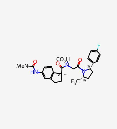 CNC(=O)Nc1ccc2c(c1)CC[C@]2(C)C(=O)N(CC(=O)N1[C@H](c2ccc(F)cc2)CC[C@@H]1C(F)(F)F)C(=O)O